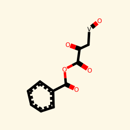 [O]=[V][CH2]C(=O)C(=O)OC(=O)c1ccccc1